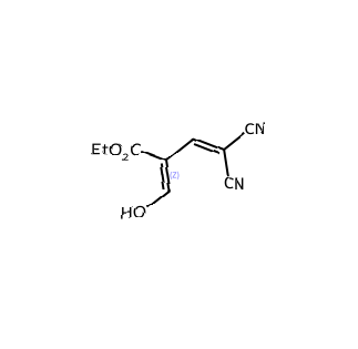 CCOC(=O)/C(C=C(C#N)C#N)=C\O